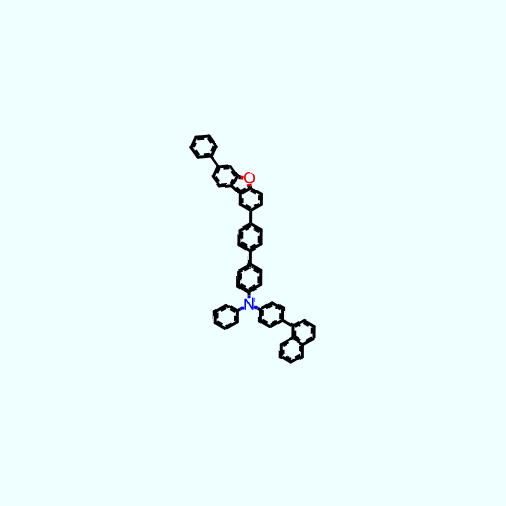 c1ccc(-c2ccc3c(c2)oc2ccc(-c4ccc(-c5ccc(N(c6ccccc6)c6ccc(-c7cccc8ccccc78)cc6)cc5)cc4)cc23)cc1